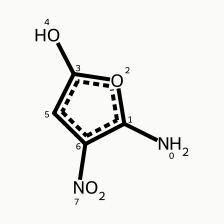 Nc1oc(O)cc1[N+](=O)[O-]